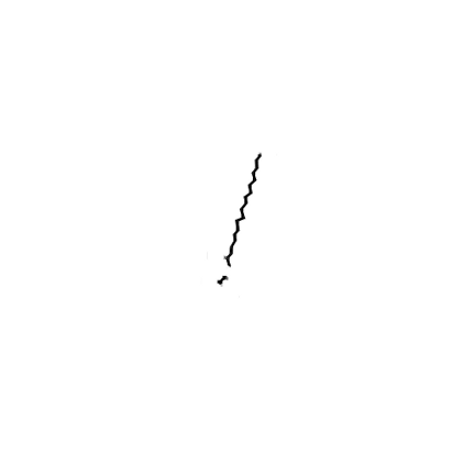 CCCCCCCCCCCCCCCCCCC(O)COC(=O)C(C)C